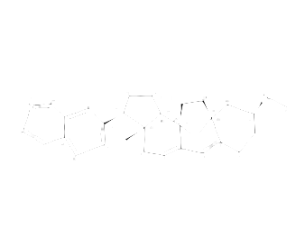 CN[C@H]1CCC2=CC3=CC[C@]4(C)[C@@H](c5ccc6ccncc6c5)CC[C@H]4[C@@]34CC[C@]2(C1)O4